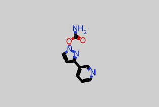 NC(=O)On1ccc(-c2cccnc2)n1